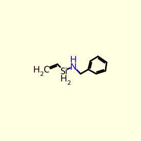 C=C[SiH2]NCc1ccccc1